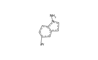 CC(C)c1ccc2c(ccn2N)c1